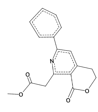 COC(=O)Cc1nc(-c2ccccc2)cc2c1C(=O)OCC2